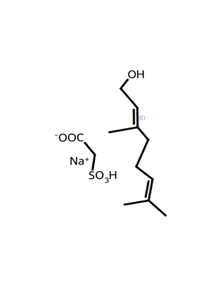 CC(C)=CCC/C(C)=C/CO.O=C([O-])CS(=O)(=O)O.[Na+]